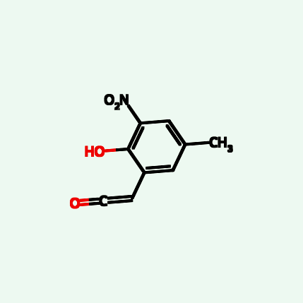 Cc1cc(C=C=O)c(O)c([N+](=O)[O-])c1